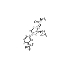 CN[C@H]1C[C@@H](c2cccc(C(F)(F)F)c2)CC[C@@H]1OC(N)=O